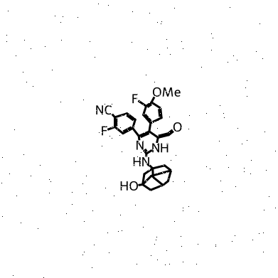 COc1ccc(C2=C(c3ccc(C#N)c(F)c3)N=C(NC34CC5CC(CC(O)(C5)C3)C4)NC2=C=O)cc1F